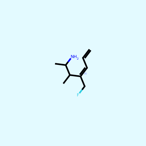 C=C/C=C(/CF)C(C)C(C)N